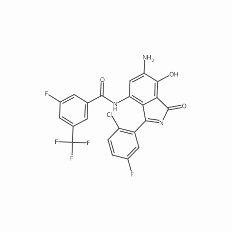 Nc1cc(NC(=O)c2cc(F)cc(C(F)(F)F)c2)c2c(c1O)C(=O)N=C2c1cc(F)ccc1Cl